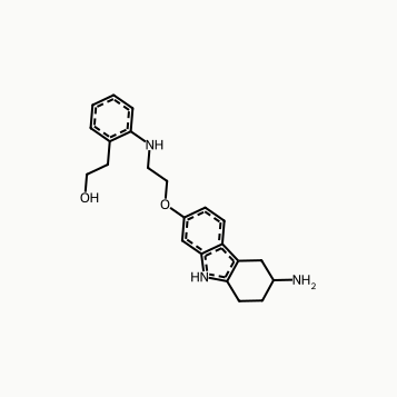 NC1CCc2[nH]c3cc(OCCNc4ccccc4CCO)ccc3c2C1